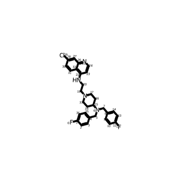 Fc1ccc(CN(Cc2ccc(F)cc2)C2CCN(CCNc3ccnc4cc(Cl)ccc34)CC2)cc1